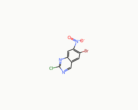 O=[N+]([O-])c1cc2nc(Cl)ncc2cc1Br